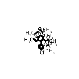 Cc1c([C@H](OC(C)(C)C)C(=O)O)c(-c2ccc(Cl)cc2)c2cc(C)n3c2c1N(S(C)(=O)=O)CC3C